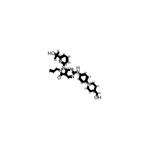 C=CCn1c(=O)c2cnc(Nc3ccc(N4CCC(CO)CC4)cc3)nc2n1-c1cccc(C(C)(C)O)n1